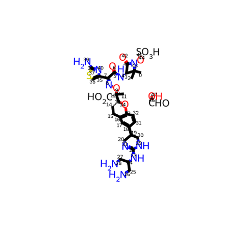 CC1(C)[C@H](NC(=O)/C(=N\O[C@](C)(C(=O)O)[C@H]2CCc3cc(C4CN=C(NC(CN)CN)NC4)ccc3O2)c2csc(N)n2)C(=O)N1OS(=O)(=O)O.O=CO